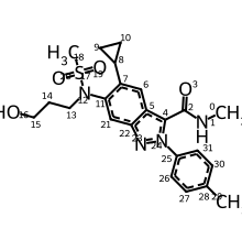 CNC(=O)c1c2cc(C3CC3)c(N(CCCO)S(C)(=O)=O)cc2nn1-c1ccc(C)cc1